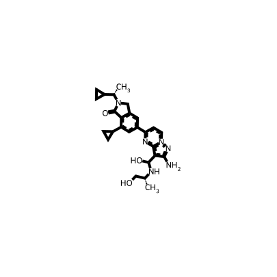 C[C@H](CO)NC(O)c1c(N)nn2ccc(-c3cc4c(c(C5CC5)c3)C(=O)N([C@@H](C)C3CC3)C4)nc12